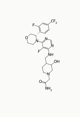 NC(=O)CN1CCC(CNc2ncnc(N3CCOC[C@@H]3c3ccc(C(F)(F)F)cc3F)c2F)C(O)C1